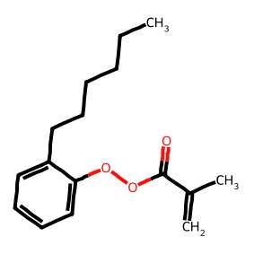 C=C(C)C(=O)OOc1ccccc1CCCCCC